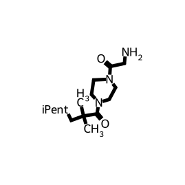 CCCC(C)CC(C)(C)C(=O)N1CCN(C(=O)CN)CC1